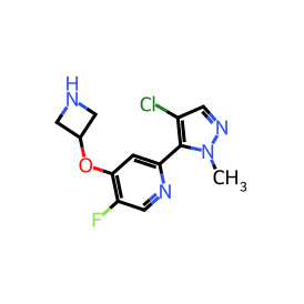 Cn1ncc(Cl)c1-c1cc(OC2CNC2)c(F)cn1